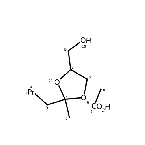 CC(=O)O.CC(C)CC1(C)OCC(CO)O1